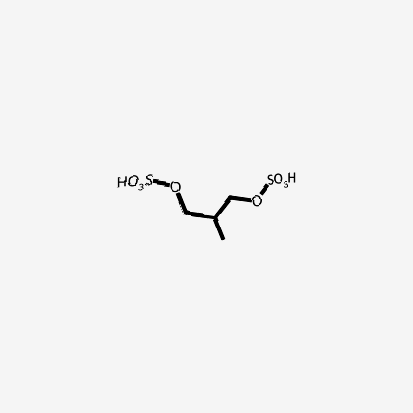 CC(COS(=O)(=O)O)COS(=O)(=O)O